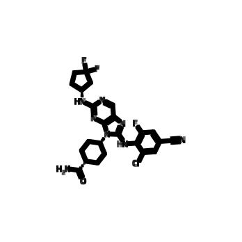 N#Cc1cc(F)c(Nc2nc3cnc(N[C@@H]4CCC(F)(F)C4)nc3n2[C@H]2CC[C@@H](C(N)=O)CC2)c(Cl)c1